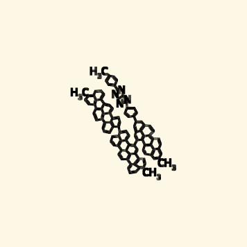 Cc1ccc(C2=NC3=NC(c4ccc(-c5cc6ccc7c8ccc9cc(C)cc%10ccc(c%11c(C%12=C%13c%14ccc(-c%15ccc%16c%17ccc%18c%19cccc%20c(C)ccc(c%21ccc(c%22cccc%15c%22%16)c%17c%21%18)c%20%19)c%15cccc(c%14%15)C%14C=Cc%15c(c(c%16ccc(C)c%17cccc%15c%17%16)=C%12)C%13%14)cc(c5)c6c7%11)c8c9%10)cc4)=NC3=N2)cc1